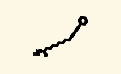 O=C(CCCCCCCCC#CC#Cc1ccccc1)NO